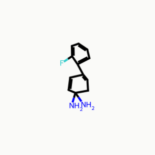 NC1(N)C=CC(c2ccccc2F)=CC1